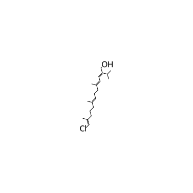 C/C(=C\C=C(\CO)C(C)C)CC/C=C(\C)CCC/C(C)=C/Cl